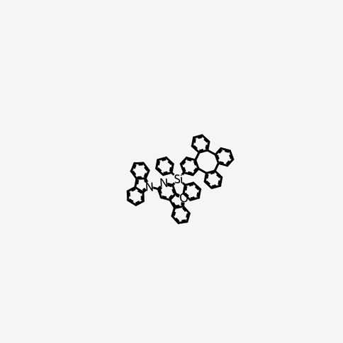 c1ccc([Si](c2ccccc2)(c2ccc3c(c2)-c2ccccc2-c2ccccc2-c2ccccc2-3)c2nc(-n3c4ccccc4c4ccccc43)cc3c2oc2ccccc23)cc1